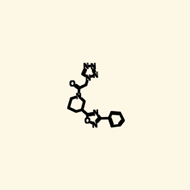 O=C(Cn1cnnn1)N1CCCC(c2nc(-c3ccccc3)no2)C1